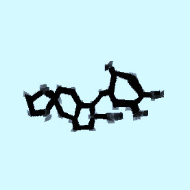 COc1cc(Br)c(CC2C3C=CC4(CC3CCN2C=O)OCCO4)cc1O